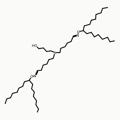 CCCCCCCCC(CCCCCCCC)O/N=C/CCCCCN(CCCCO)CCCCC/C=N/OC(CCCCCCCC)CCCCCCCC